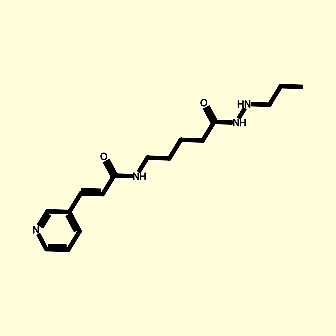 CCCNNC(=O)CCCCNC(=O)C=Cc1cccnc1